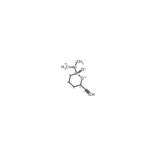 C#CC1CCCP(=O)(N(C)C)O1